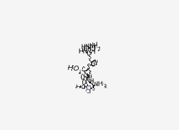 N=C(N)NC(CSCc1cnccc1SC1=C(C(=O)O)N2C(=O)[C@@H](NC(=O)/C(=N\O)c3nc(N)sc3Cl)[C@@H]2SC1)NC=O